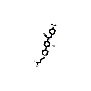 CN(C)c1ccc(/C=C(\C#N)c2ccc(C3=CCN(CCCC(=O)[O-])C=C3)cc2)cc1.[Na+]